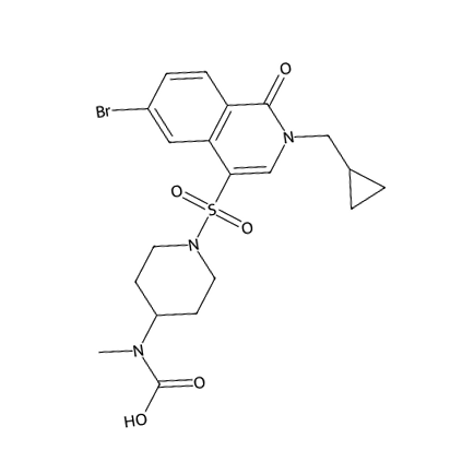 CN(C(=O)O)C1CCN(S(=O)(=O)c2cn(CC3CC3)c(=O)c3ccc(Br)cc23)CC1